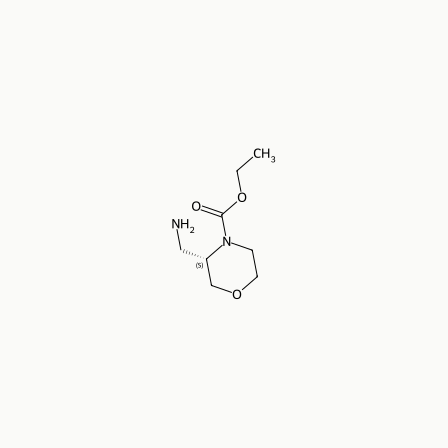 CCOC(=O)N1CCOC[C@@H]1CN